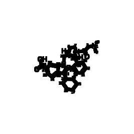 CN(C)CC(=O)N1CC[C@H]2Cn3c(c(C4CCCCC4)c4ccc(C(=O)O)cc43)-c3ccccc3[C@@H]21